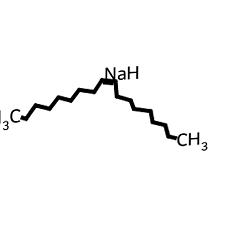 CCCCCCCC/C=C\CCCCCCCC.[NaH]